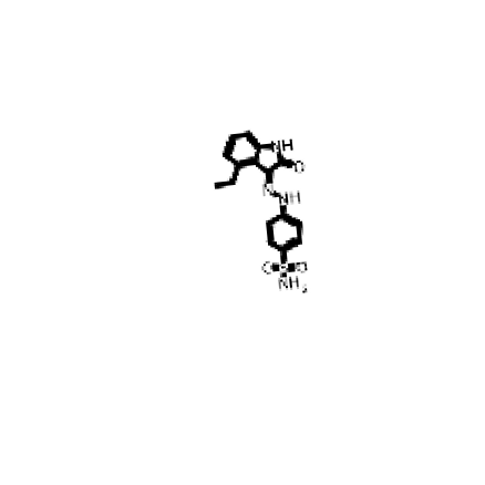 CCc1cccc2c1/C(=N/Nc1ccc(S(N)(=O)=O)cc1)C(=O)N2